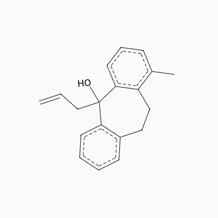 C=CCC1(O)c2ccccc2CCc2c(C)cccc21